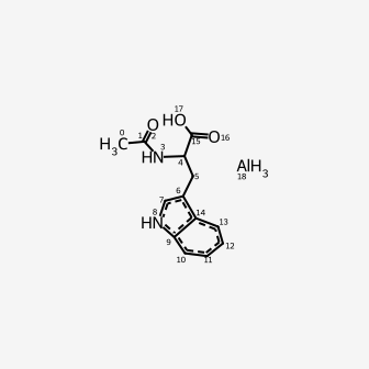 CC(=O)NC(Cc1c[nH]c2ccccc12)C(=O)O.[AlH3]